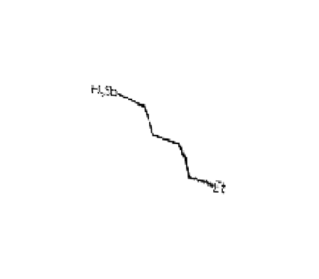 CCCCC[CH2][SbH2]